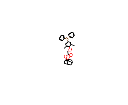 Cc1cc([S+](c2ccccc2)c2ccccc2)cc(C)c1OCC(=O)OC1C2CC3CC(C2)C(=O)C1C3